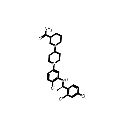 C[C@@H](Nc1cc(N2CCC(N3CCCC(C(N)=O)C3)CC2)ccc1Cl)c1ccc(Cl)cc1Cl